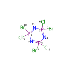 ClP1(Br)=NP(Cl)(Br)=NP(Cl)(Br)=N1